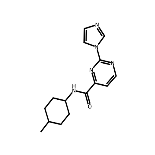 CC1CCC(NC(=O)c2ccnc(-n3ccnc3)n2)CC1